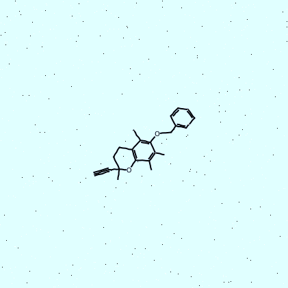 C#CC1(C)CCc2c(C)c(OCc3ccccc3)c(C)c(C)c2O1